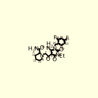 CCn1c(=O)c(C(=O)CN2CCCCC2C(N)=O)c(N)n(Cc2ccc(F)cc2F)c1=O